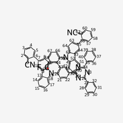 N#Cc1ccccc1-c1ccc2c(c1)c1ccccc1n2-c1ccc(-c2nc(-c3ccccc3)nc(-c3ccccc3)n2)cc1-c1c(-n2c3ccccc3c3cc(-c4ccccc4C#N)ccc32)cccc1C(F)(F)F